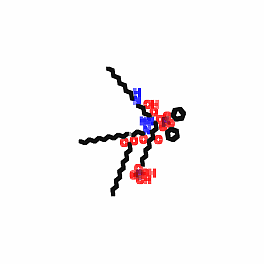 CCCCCCCCCCCC(=O)O[C@H](CCCCCCCCCCC)CC(=O)NC(CC(NC(=O)C[C@@H](O)CNCCCCCCCCC)OP(=O)(Oc1ccccc1)Oc1ccccc1)C(=O)CCCCCCOP(=O)(O)O